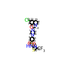 C[C@H](C(=O)N1CCN(c2ccc(S(=O)(=O)Nc3nc(C(F)(F)F)cs3)cc2)CC1)N1CCCc2cc(Cl)ccc21